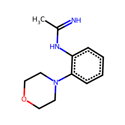 CC(=N)Nc1ccccc1N1CCOCC1